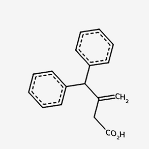 C=C(CC(=O)O)C(c1ccccc1)c1ccccc1